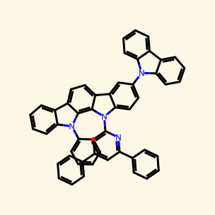 c1ccc(-c2cc(-c3ccccc3)nc(-n3c4ccc(-n5c6ccccc6c6ccccc65)cc4c4ccc5c6ccccc6n(-c6ccccc6)c5c43)c2)cc1